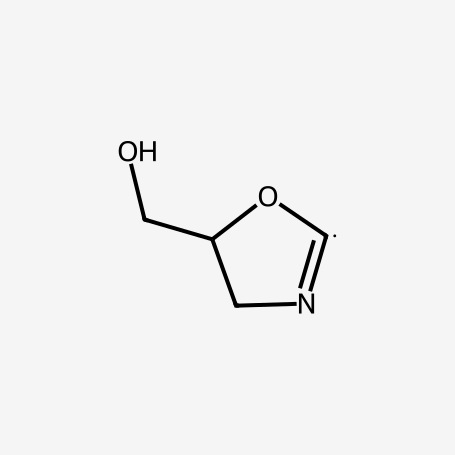 OCC1CN=[C]O1